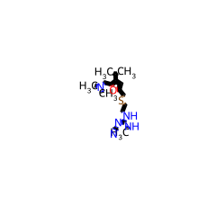 CNC(=NC#N)NCCSCc1cc(C(C)C)c(CN(C)C)o1